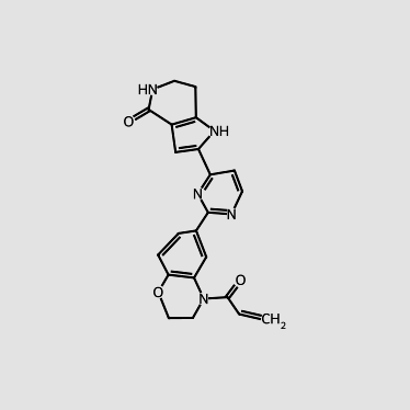 C=CC(=O)N1CCOc2ccc(-c3nccc(-c4cc5c([nH]4)CCNC5=O)n3)cc21